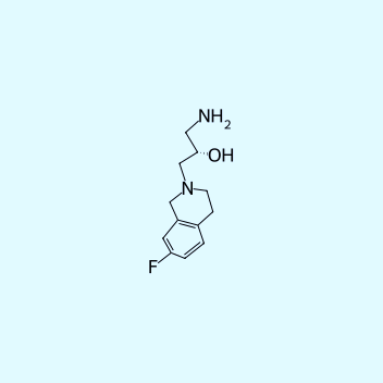 NC[C@H](O)CN1CCc2ccc(F)cc2C1